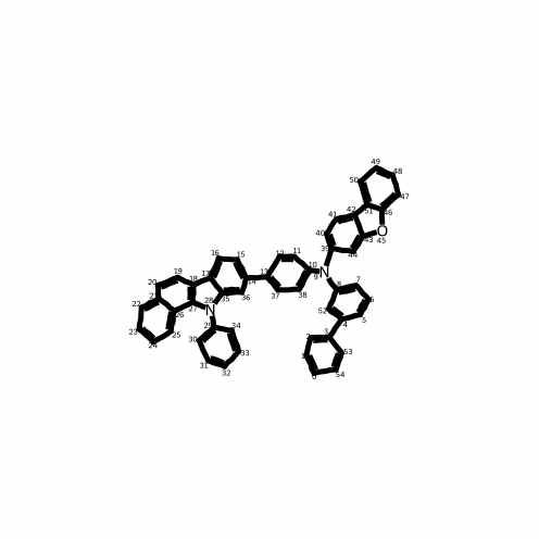 c1ccc(-c2cccc(N(c3ccc(-c4ccc5c6ccc7ccccc7c6n(-c6ccccc6)c5c4)cc3)c3ccc4c(c3)oc3ccccc34)c2)cc1